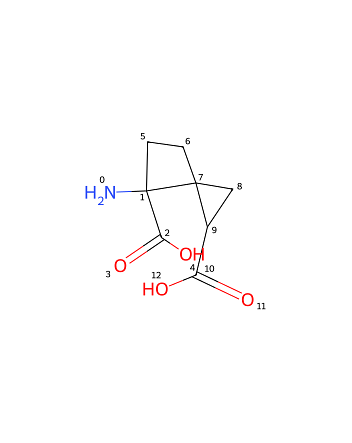 NC1(C(=O)O)CCC12CC2C(=O)O